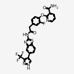 NC(=O)c1cccnc1Oc1ccc(CC(=O)Nc2nc3cc(-c4c[nH]nc4C(F)(F)F)ccc3s2)cc1F